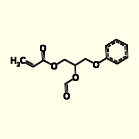 C=CC(=O)OCC(COc1ccccc1)OC=O